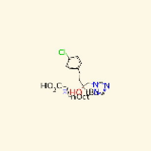 CC(C)(C)C(O)(CCc1ccc(Cl)cc1)Cn1cncn1.CCCCCCCC/C=C/C(=O)O